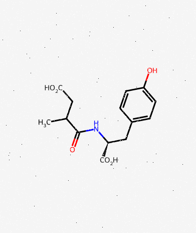 CC(CC(=O)O)C(=O)N[C@@H](Cc1ccc(O)cc1)C(=O)O